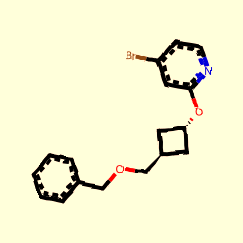 Brc1ccnc(O[C@H]2C[C@H](COCc3ccccc3)C2)c1